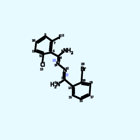 N/C(=N\N=C(/N)c1c(F)cccc1Cl)c1ccccc1Br